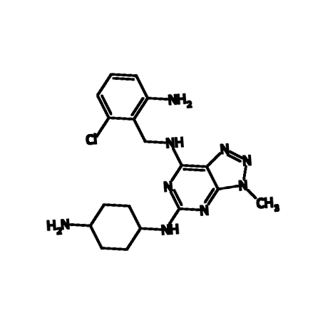 Cn1nnc2c(NCc3c(N)cccc3Cl)nc(NC3CCC(N)CC3)nc21